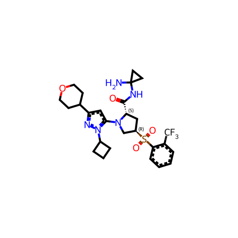 NC1(NC(=O)[C@@H]2C[C@@H](S(=O)(=O)c3ccccc3C(F)(F)F)CN2c2cc(C3CCOCC3)nn2C2CCC2)CC1